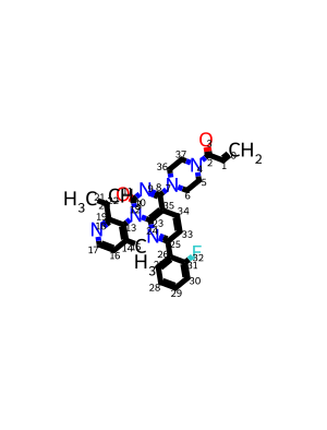 C=CC(=O)N1CCN(c2nc(=O)n(-c3c(C)ccnc3C(C)C)c3nc(-c4ccccc4F)ccc23)CC1